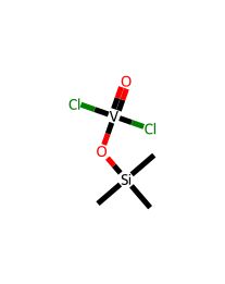 C[Si](C)(C)[O][V](=[O])([Cl])[Cl]